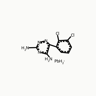 Nc1nnc(-c2cccc(Cl)c2Cl)c(N)n1.[PbH2]